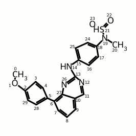 COc1ccc(-c2cccc3cnc(Nc4ccc(N(C)[SH](=O)=O)cc4)nc23)cc1